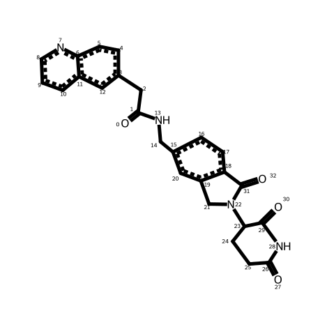 O=C(Cc1ccc2ncccc2c1)NCc1ccc2c(c1)CN(C1CCC(=O)NC1=O)C2=O